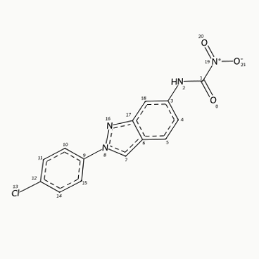 O=C(Nc1ccc2cn(-c3ccc(Cl)cc3)nc2c1)[N+](=O)[O-]